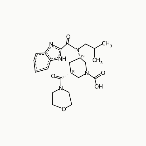 CC(C)CN(C(=O)c1nc2ccccc2[nH]1)[C@H]1C[C@@H](C(=O)N2CCOCC2)CN(C(=O)O)C1